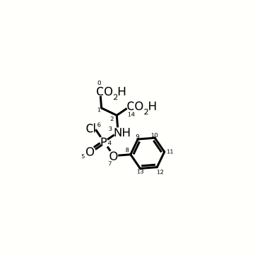 O=C(O)CC(NP(=O)(Cl)Oc1ccccc1)C(=O)O